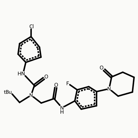 CC(C)(C)CN(CC(=O)Nc1ccc(N2CCCCC2=O)cc1F)C(=O)Nc1ccc(Cl)cc1